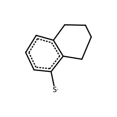 [S]c1cccc2c1CCCC2